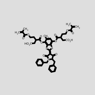 C=C(C)C(=O)OCCC(CC(=O)O)C(=O)Oc1cc(C)c(OC(=O)C(CCOC(=O)C(=C)C)CC(=O)O)c2c1SC(=C1C(=O)C(Cc3ccccc3)N(Cc3ccccc3)C1=O)S2